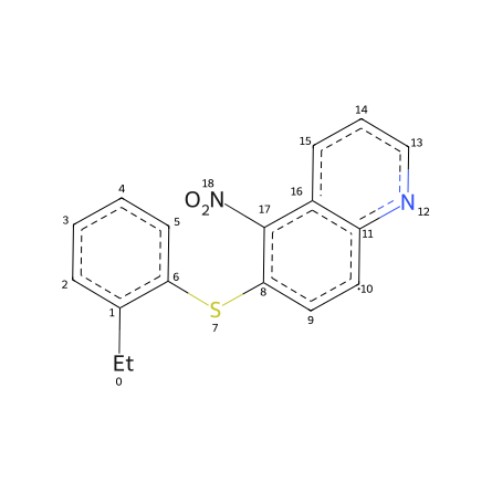 CCc1ccccc1Sc1c[c]c2ncccc2c1[N+](=O)[O-]